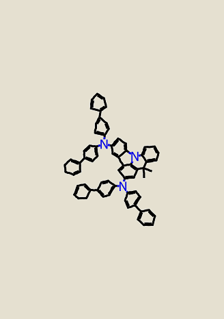 CC1(C)c2ccccc2-n2c3ccc(N(c4ccc(C5=CCCC=C5)cc4)c4ccc(-c5ccccc5)cc4)cc3c3cc(N(c4ccc(C5=CC=CCC5)cc4)c4ccc(-c5ccccc5)cc4)cc1c32